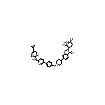 O=C1CCC(N2Cc3cc(C4CCN(Cc5ccc(-c6ccc(Nc7ncc(C8CC8)cn7)nc6)cc5)CC4)ccc3C2=O)C(=O)N1